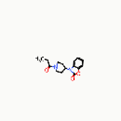 CCC(=O)N1CCC(n2c(=O)oc3ccccc32)CC1